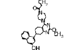 C=CC(=O)N1CCN(c2nc(OC)nc3c2CCC(c2cc(O)cc4ccccc24)C3)CC1